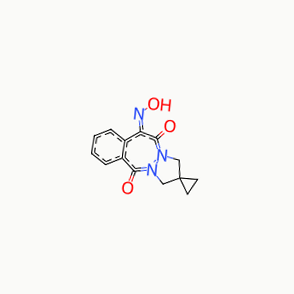 O=c1c(=NO)c2ccccc2c(=O)n2n1CC1(CC1)C2